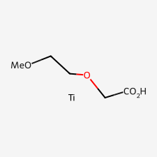 COCCOCC(=O)O.[Ti]